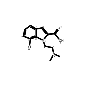 CN(C)CCn1c(C(=O)O)cc2cccc(Cl)c21